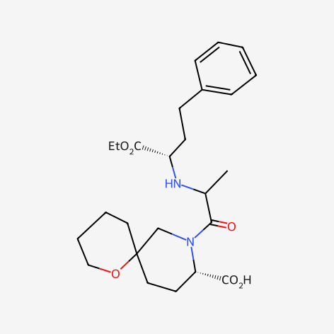 CCOC(=O)[C@H](CCc1ccccc1)NC(C)C(=O)N1CC2(CCCCO2)CC[C@H]1C(=O)O